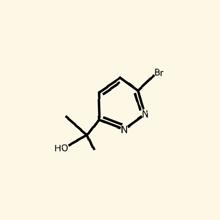 CC(C)(O)c1ccc(Br)nn1